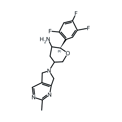 Cc1ncc2c(n1)CN(C1CO[C@H](c3cc(F)c(F)cc3F)C(N)C1)C2